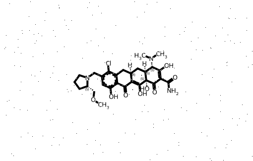 COC[C@@H]1CCCN1Cc1cc(O)c2c(c1Cl)C[C@H]1C[C@H]3[C@H](N(C)C)C(O)=C(C(N)=O)C(=O)[C@@]3(O)C(O)=C1C2=O